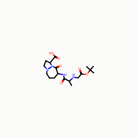 CC(NCC(=O)OC(C)(C)C)C(=O)NC1CCCN2CCC(C(=O)O)N2C1=O